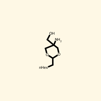 CCCCCCCC1OCC(N)(CO)CO1